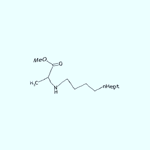 CCCCCCCCCCCNC(C)C(=O)OC